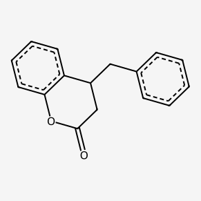 O=C1CC(Cc2ccccc2)c2ccccc2O1